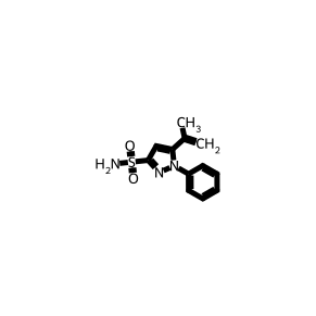 C=C(C)c1cc(S(N)(=O)=O)nn1-c1ccccc1